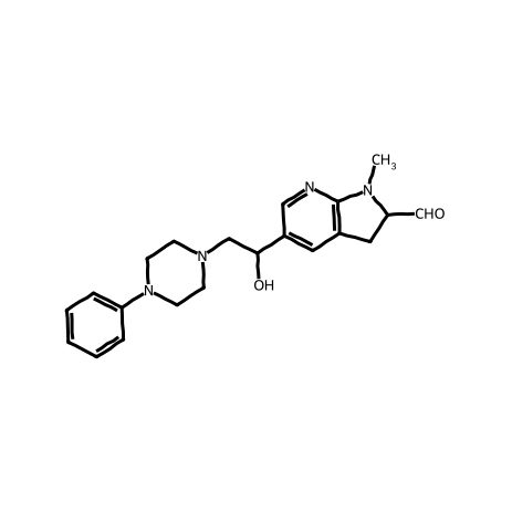 CN1c2ncc(C(O)CN3CCN(c4ccccc4)CC3)cc2CC1C=O